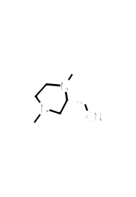 CN1CCN(C)[C@H](CC#N)C1